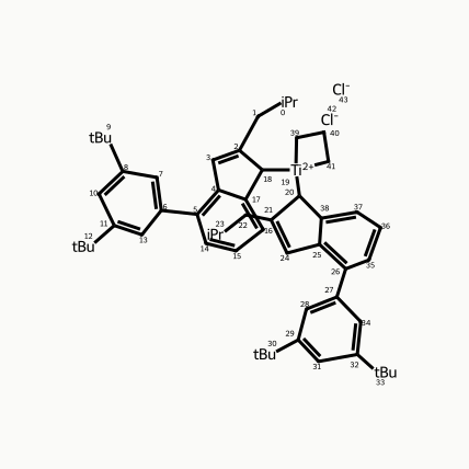 CC(C)CC1=Cc2c(-c3cc(C(C)(C)C)cc(C(C)(C)C)c3)cccc2[CH]1[Ti+2]1([CH]2C(CC(C)C)=Cc3c(-c4cc(C(C)(C)C)cc(C(C)(C)C)c4)cccc32)[CH2]C[CH2]1.[Cl-].[Cl-]